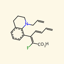 C=CC=CC(=C(F)C(=O)O)c1cccc2c1N(CC=C)CCC2